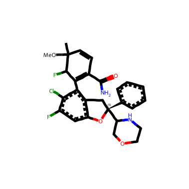 COC1(C)C=CC(C(N)=O)=C(c2c(Cl)c(F)cc3c2C[C@](c2ccccc2)(C2COCCN2)O3)C1F